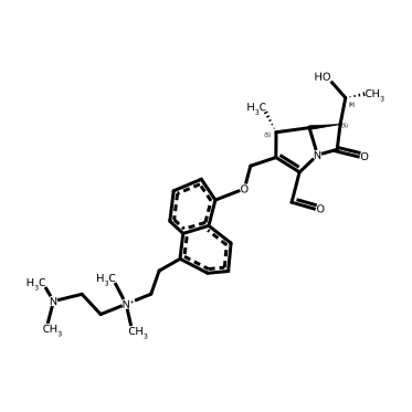 C[C@H]1C(COc2cccc3c(CC[N+](C)(C)CCN(C)C)cccc23)=C(C=O)N2C(=O)[C@H]([C@@H](C)O)C12